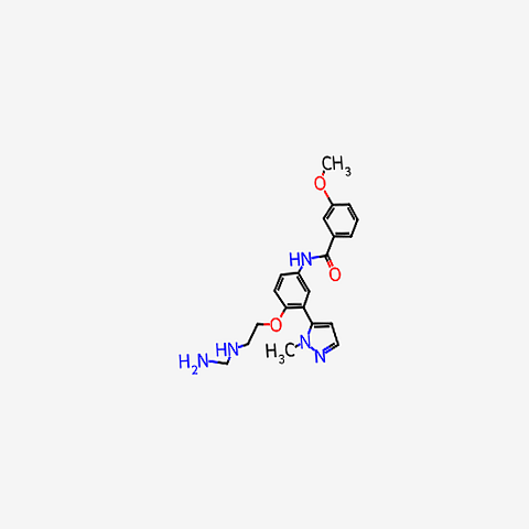 COc1cccc(C(=O)Nc2ccc(OCCNCN)c(-c3ccnn3C)c2)c1